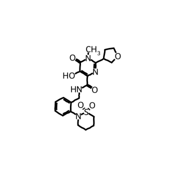 Cn1c(C2CCOC2)nc(C(=O)NCc2ccccc2N2CCCCS2(=O)=O)c(O)c1=O